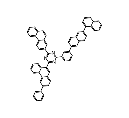 c1ccc(-c2ccc3cc(-c4nc(-c5cccc(-c6ccc7cc(-c8cccc9ccccc89)ccc7c6)c5)nc(-c5ccc6c(ccc7ccccc76)c5)n4)c4ccccc4c3c2)cc1